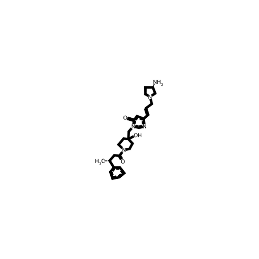 C[C@H](CC(=O)N1CCC(O)(Cn2cnc(/C=C/CN3CC[C@H](N)C3)cc2=O)CC1)c1ccccc1